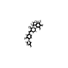 Cc1cn(-c2ccc(C=C3CCCN([C@](C)(CO)c4cc(F)c(F)c(F)c4)C3=O)cc2F)cn1